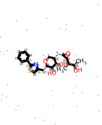 C[C@H]([C@@H]1O[C@H]1C[C@H]1CO[C@@H](Cc2csc(-c3ccccc3)n2)[C@H](O)[C@@H]1O)[C@H](C)O